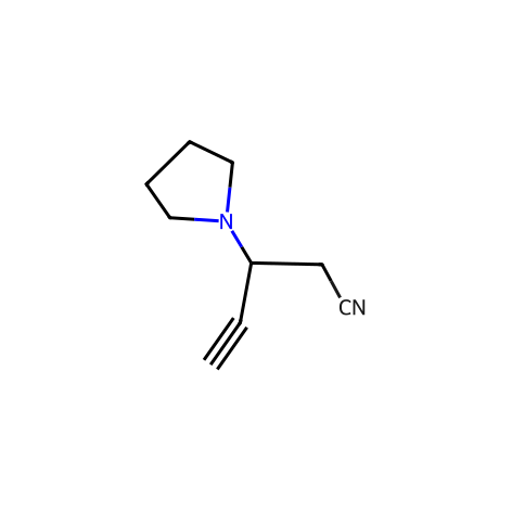 C#CC(CC#N)N1CCCC1